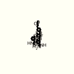 COC(=O)/C=C/c1ccc(Oc2c(F)c(Oc3cccc(NC(=N)N)c3)nc(Oc3cc(C(=N)N)ccc3O)c2F)cc1